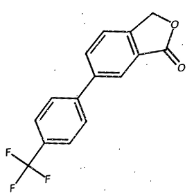 O=C1OCc2ccc(-c3ccc(C(F)(F)F)cc3)cc21